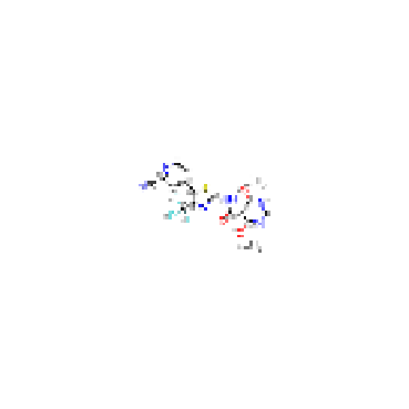 COc1ncnc(OC)c1C(=O)Nc1nc(C(F)(F)F)c(-c2ccnc(C#N)c2)s1